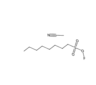 CC#N.CCCCCCCCS(=O)(=O)OF